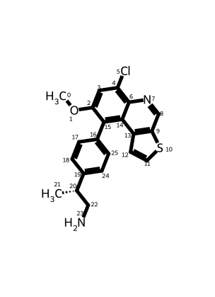 COc1cc(Cl)c2ncc3sccc3c2c1-c1ccc([C@@H](C)CN)cc1